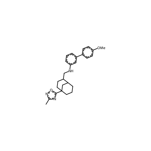 COc1ccc(-c2cccc(NCC3CCC4(c5nc(C)no5)CCCC3C4)c2)cc1